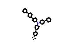 C[Si](C)(C)c1ccc(-c2ccc(N(c3ccc(-c4ccccc4)cc3)c3ccc(-c4ccc(-c5ccccc5)cc4)cc3)cc2)cc1